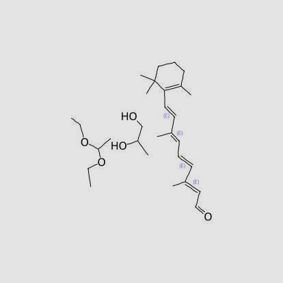 CC(O)CO.CC1=C(/C=C/C(C)=C/C=C/C(C)=C/C=O)C(C)(C)CCC1.CCOC(C)OCC